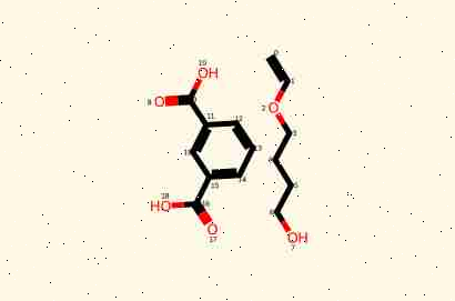 C=COCCCCO.O=C(O)c1cccc(C(=O)O)c1